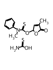 CC1=CC(OC(=S)N(C)c2ccccc2)OC1=O.NC(O)=S